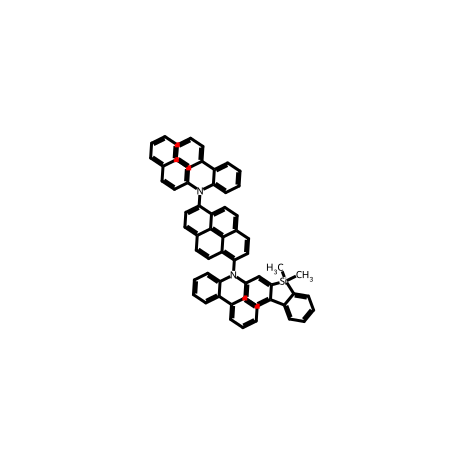 C[Si]1(C)c2ccccc2-c2ccc(N(c3ccccc3-c3ccccc3)c3ccc4ccc5c(N(c6ccc7ccccc7c6)c6ccccc6-c6ccccc6)ccc6ccc3c4c65)cc21